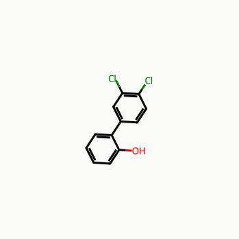 Oc1ccccc1-c1ccc(Cl)c(Cl)c1